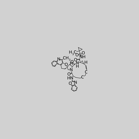 Cc1nc2ccccc2c2c1O[C@]1(CC2)C[C@H]2C(=O)N[C@]3(C(=O)NS(=O)(=O)C4(C)CC4)C[C@H]3C=CCCCCC[C@H](Nc3nc4ccccc4o3)C(=O)N2C1